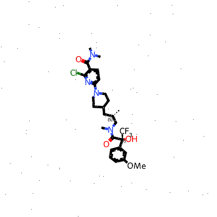 COc1cccc([C@@](O)(C(=O)N(C)C[C@@H](C)CC2CCN(c3ccc(C(=O)N(C)C)c(Cl)n3)CC2)C(F)(F)F)c1